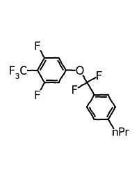 CCCc1ccc(C(F)(F)Oc2cc(F)c(C(F)(F)F)c(F)c2)cc1